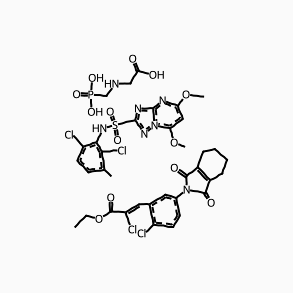 CCOC(=O)/C(Cl)=C/c1cc(N2C(=O)C3=C(CCCC3)C2=O)ccc1Cl.COc1cc(OC)n2nc(S(=O)(=O)Nc3c(Cl)ccc(C)c3Cl)nc2n1.O=C(O)CNCP(=O)(O)O